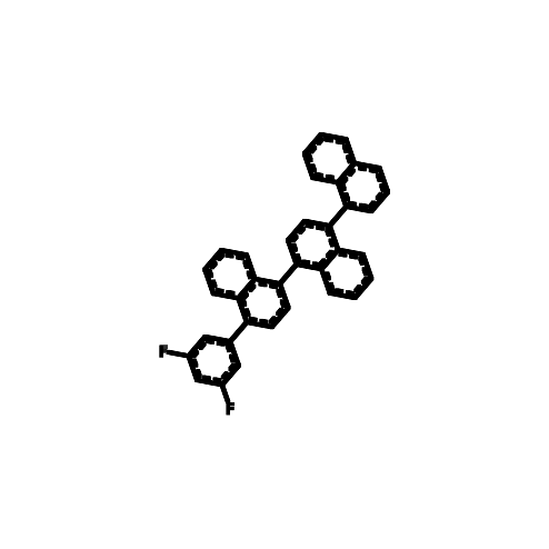 Fc1cc(F)cc(-c2ccc(-c3ccc(-c4cccc5ccccc45)c4ccccc34)c3ccccc23)c1